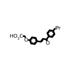 CC(C)c1ccc(C(=O)/C=C/c2ccc(OCC(=O)O)cc2)cc1